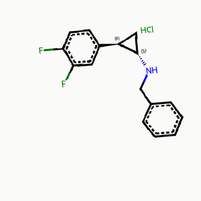 Cl.Fc1ccc([C@H]2C[C@@H]2NCc2ccccc2)cc1F